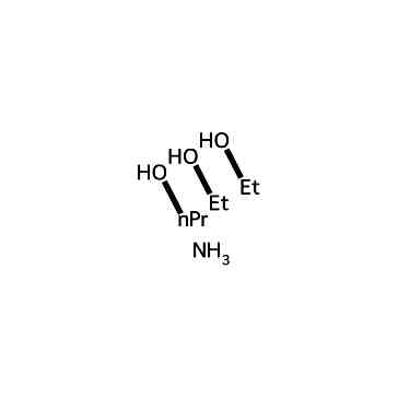 CCCO.CCO.CCO.N